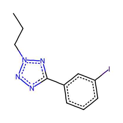 CCCn1nnc(-c2cccc(I)c2)n1